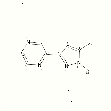 Cc1cc(-c2cnccn2)nn1C